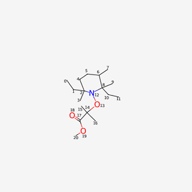 CCC1(C)CCC(C)C(C)(CC)N1OC(C)(C)C(=O)OC